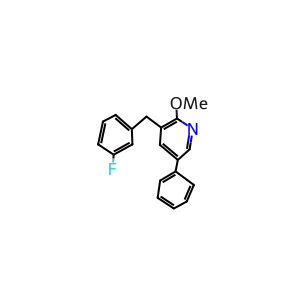 COc1ncc(-c2ccccc2)cc1Cc1cccc(F)c1